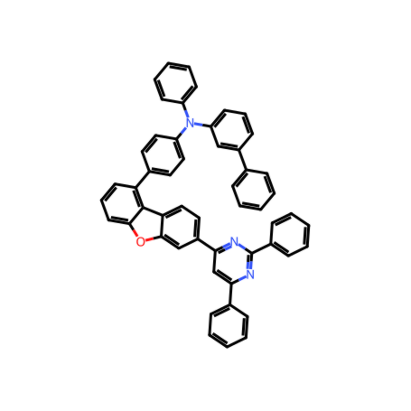 c1ccc(-c2cccc(N(c3ccccc3)c3ccc(-c4cccc5oc6cc(-c7cc(-c8ccccc8)nc(-c8ccccc8)n7)ccc6c45)cc3)c2)cc1